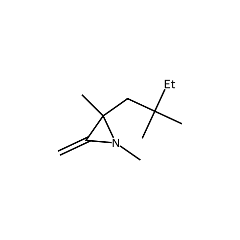 C=C1N(C)C1(C)CC(C)(C)CC